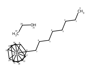 CCCCCCCC[C]12[CH]3[CH]4[CH]5[CH]1[Fe]45321678[CH]2[CH]1[CH]6[CH]7[CH]28.CCO